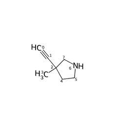 C#CC1(C)CCNC1